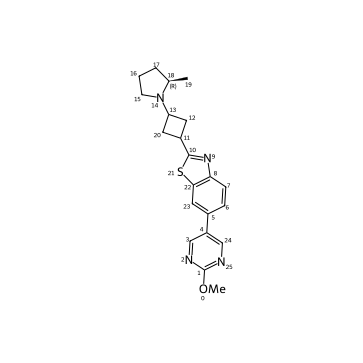 COc1ncc(-c2ccc3nc(C4CC(N5CCC[C@H]5C)C4)sc3c2)cn1